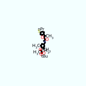 CCCSc1ccc2c(C)c(C(=O)/C=C/c3cc(C)c(OC(C)(C)C(=O)OC(C)(C)C)c(C)c3)oc2c1